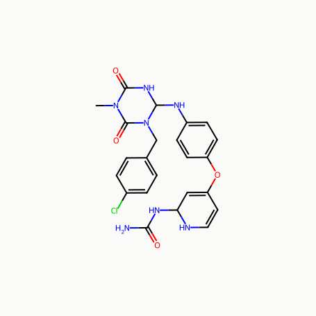 CN1C(=O)NC(Nc2ccc(OC3=CC(NC(N)=O)NC=C3)cc2)N(Cc2ccc(Cl)cc2)C1=O